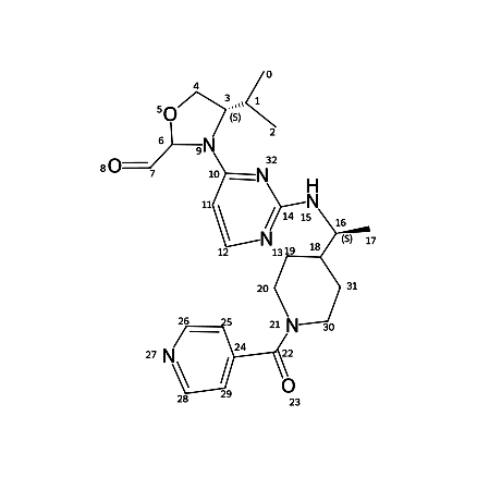 CC(C)[C@H]1COC(C=O)N1c1ccnc(N[C@@H](C)C2CCN(C(=O)c3ccncc3)CC2)n1